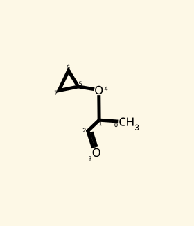 CC(C=O)OC1CC1